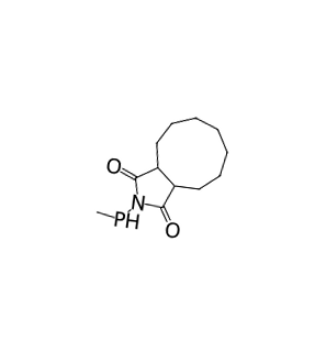 CPN1C(=O)C2CCCCCCCC2C1=O